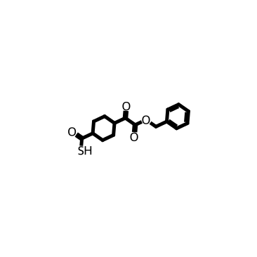 O=C(OCc1ccccc1)C(=O)C1CCC(C(=O)S)CC1